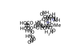 CCN/C(=C\C(C)=N)C(=O)Nc1nc2cc(C(N)=O)cc(OCCCN3CCN(C(=O)OCc4ccc(OC5O[C@H](C(=O)O)[C@@H](O)C[C@H]5O)c(NC(=O)CCNC(=O)CN5C(=O)C=CC5=O)c4)CC3)c2n1C/C=C/Cn1c(NC(=O)c2cc(C)nn2CC)nc2cc(C(N)=O)cc(OC)c21